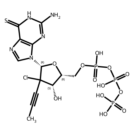 CC#CC1(Cl)[C@@H](O)[C@@H](COP(=O)(O)OP(=O)(O)OP(=O)(O)O)O[C@H]1n1cnc2c(=S)[nH]c(N)nc21